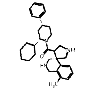 Cc1cccc2c1CNC[C@]21CNCC1C(=O)N1CC[C@@H](c2ccccc2)C[C@H]1C1CCCCC1